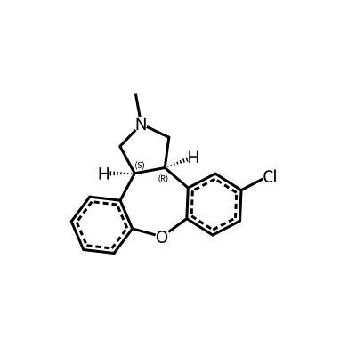 CN1C[C@@H]2c3ccccc3Oc3ccc(Cl)cc3[C@@H]2C1